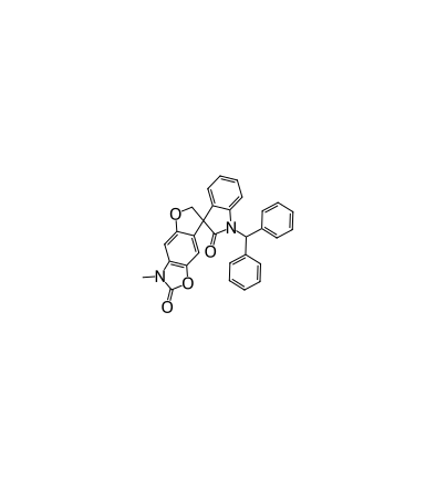 Cn1c(=O)oc2cc3c(cc21)OCC31C(=O)N(C(c2ccccc2)c2ccccc2)c2ccccc21